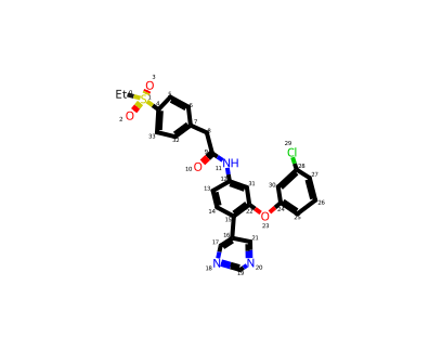 CCS(=O)(=O)c1ccc(CC(=O)Nc2ccc(-c3cncnc3)c(Oc3cccc(Cl)c3)c2)cc1